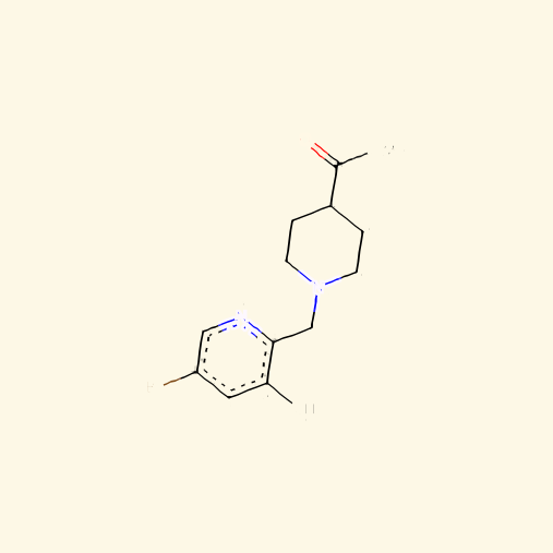 COC(=O)C1CCN(Cc2ncc(Br)cc2C)CC1